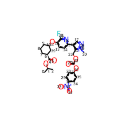 CC(C)OC(=O)[C@H]1CCC[C@H](Oc2ccc(-c3cnn(C)c3COC(=O)Oc3ccc([N+](=O)[O-])cc3)nc2F)C1